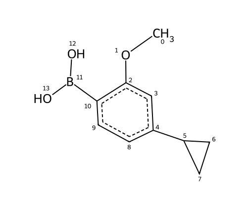 COc1cc(C2CC2)ccc1B(O)O